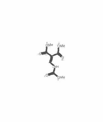 COC(=O)NC=C(C(=O)OC)C(=O)OC